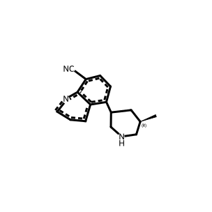 C[C@H]1CNCC(c2ccc(C#N)c3ncccc23)C1